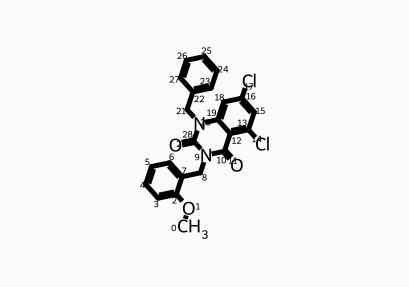 COc1ccccc1Cn1c(=O)c2c(Cl)cc(Cl)cc2n(Cc2ccccc2)c1=O